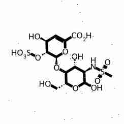 CS(=O)(=O)N[C@H]1C(O)O[C@H](CO)C(O[C@@H]2OC(C(=O)O)=C[C@H](O)[C@H]2OS(=O)(=O)O)[C@@H]1O